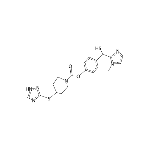 Cn1ccnc1C(S)c1ccc(OC(=O)N2CCC(Sc3nc[nH]n3)CC2)cc1